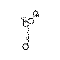 [O-][n+]1ccc(CCCOCc2ccccc2)c2ccc(-n3cccn3)cc21